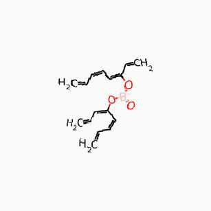 C=C/C=C\C=C(/C=C)O[B-](=O)OC(/C=C\C=C)=C/C=C